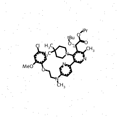 COc1cc(Cl)ccc1OCCN(C)c1ccc(-c2cnc(C)c([C@H](OC(C)(C)C)C(=O)OC(C)C)c2N2CCC(C)(C)CC2)nc1